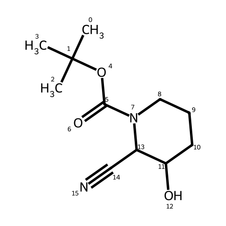 CC(C)(C)OC(=O)N1CCCC(O)C1C#N